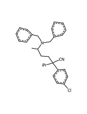 CC(CCC(C#N)(c1ccc(Cl)cc1)C(C)C)N(Cc1ccccc1)Cc1ccccc1